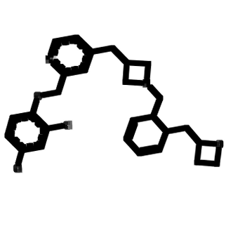 Clc1ccc(OCc2cc(CC3CN(CC4C=CC=CC4CC4CCO4)C3)ccn2)c(Cl)c1